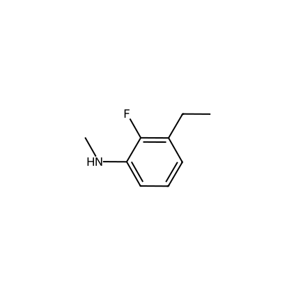 CCc1cccc(NC)c1F